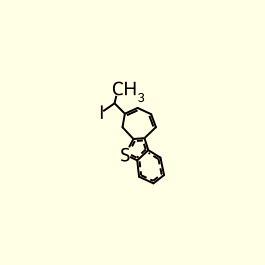 CC(I)C1=CC=Cc2c(sc3ccccc23)C1